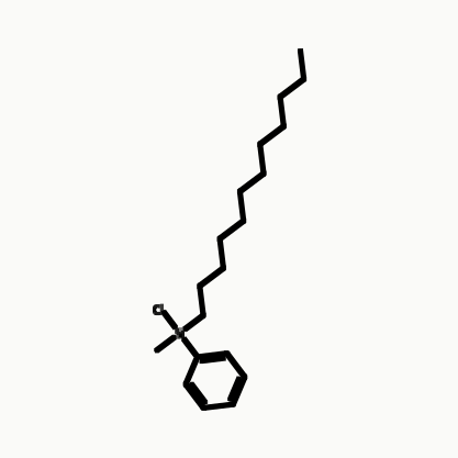 CCCCCCCCCCCC[Si](C)(Cl)c1ccccc1